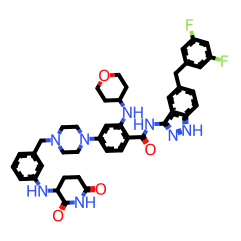 O=C1CCC(Nc2cccc(CN3CCN(c4ccc(C(=O)Nc5n[nH]c6ccc(Cc7cc(F)cc(F)c7)cc56)c(NC5CCOCC5)c4)CC3)c2)C(=O)N1